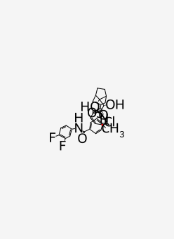 Cc1cccc([C@@H](O)C2(O)C3CCC2CC(S(=O)(=O)c2cc(C(=O)Nc4ccc(F)c(F)c4)ccc2Cl)C3)n1